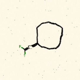 FC(F)=C=C1CCCCCCCCCCC1